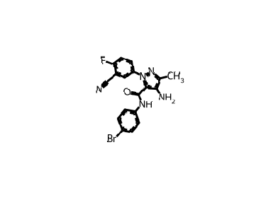 Cc1nn(-c2ccc(F)c(C#N)c2)c(C(=O)Nc2ccc(Br)cc2)c1N